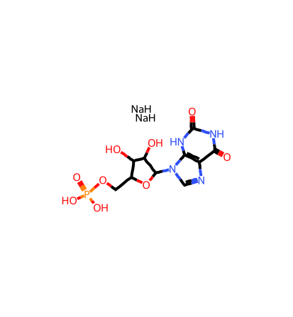 O=c1[nH]c(=O)c2ncn(C3OC(COP(=O)(O)O)C(O)C3O)c2[nH]1.[NaH].[NaH]